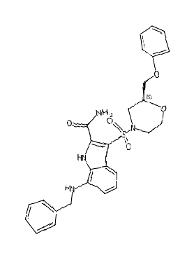 NC(=O)c1[nH]c2c(NCc3ccccc3)cccc2c1S(=O)(=O)N1CCO[C@H](COc2ccccc2)C1